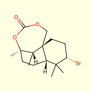 C[C@H]1[C@@]23CC[C@H](Br)C(C)(C)[C@@H]2CC[C@@]1(C)OC(=O)OC3